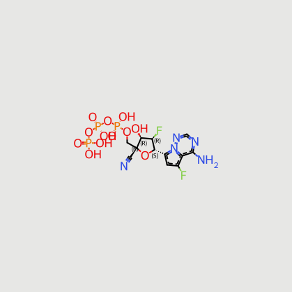 N#C[C@]1(COP(=O)(O)OP(=O)(O)OP(=O)(O)O)O[C@@H](c2cc(F)c3c(N)ncnn23)[C@H](F)[C@@H]1O